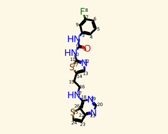 O=C(Nc1cccc(F)c1)Nc1ncc(CCNc2ncnc3ccsc23)s1